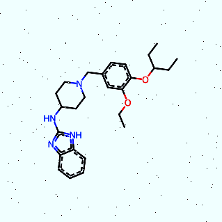 CCOc1cc(CN2CCC(Nc3nc4ccccc4[nH]3)CC2)ccc1OC(CC)CC